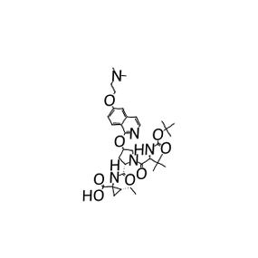 CC[C@@H]1C[C@]1(NC(=O)[C@@H]1C[C@@H](Oc2nccc3cc(OCCN(C)C)ccc23)CN1C(=O)[C@@H](NC(=O)OC(C)(C)C)C(C)(C)C)C(=O)O